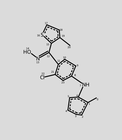 Cc1ccccc1Nc1ccc(C(=NO)c2sccc2C)c(Cl)c1